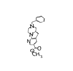 COC(=O)c1cnc2c(c1)CC1CN(Cc3ccccc3)CCN21